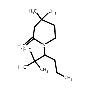 C=C1CC(C)(C)CCN1C(CCC)C(C)(C)C